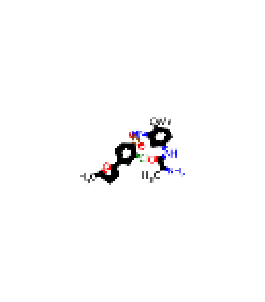 COc1ccc(NC(=O)[C@@H](C)N)cc1NS(=O)(=O)c1ccc(-c2ccc(C)o2)cc1Cl